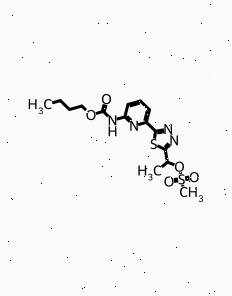 CCCCOC(=O)Nc1cccc(-c2nnc(C(C)OS(C)(=O)=O)s2)n1